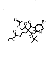 CCOC(=O)CCCC(C(=O)COC(C)=O)(C(=O)OC(C)(C)C)C(=O)c1cncc(Br)c1